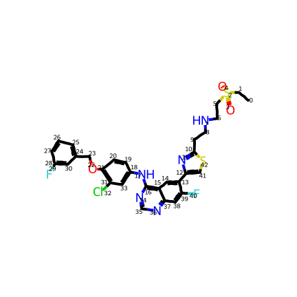 CCS(=O)(=O)CCNCCc1nc(-c2cc3c(Nc4ccc(OCc5cccc(F)c5)c(Cl)c4)ncnc3cc2F)cs1